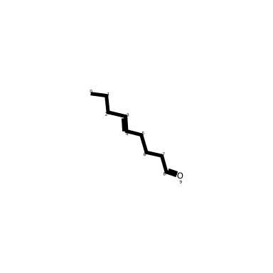 CCCC=CCCCC=O